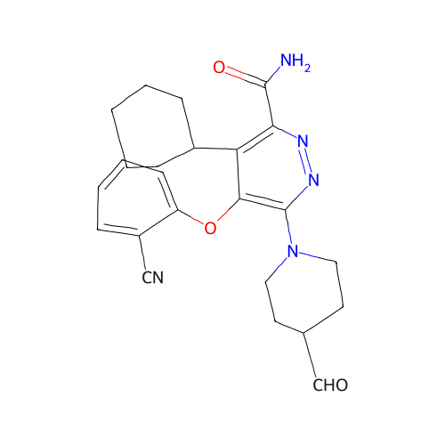 N#Cc1ccccc1Oc1c(N2CCC(C=O)CC2)nnc(C(N)=O)c1C1CCCCC1